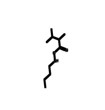 CCCCNOC(=O)C(C)C(C)C